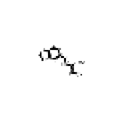 CS/C(=N\C#N)NCc1ccc2c(c1)OCO2